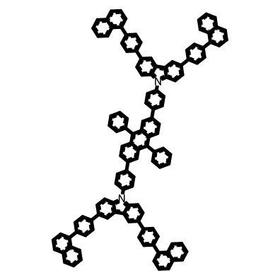 c1ccc(-c2c3ccc(-c4ccc(-n5c6ccc(-c7ccc(-c8cccc9ccccc89)cc7)cc6c6cc(-c7ccc(-c8cccc9ccccc89)cc7)ccc65)cc4)cc3c(-c3ccccc3)c3ccc(-c4ccc(-n5c6ccc(-c7ccc(-c8cccc9ccccc89)cc7)cc6c6cc(-c7ccc(-c8cccc9ccccc89)cc7)ccc65)cc4)cc23)cc1